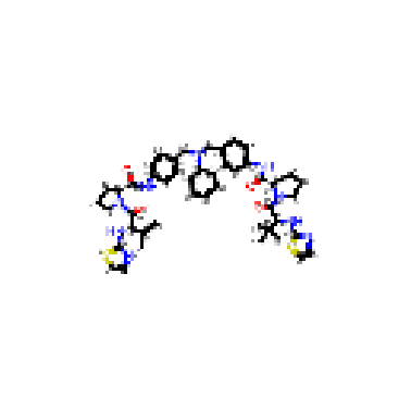 C=C(C)[C@H](Nc1nccs1)C(=O)N1CCC[C@H]1C(=O)Nc1ccc(CN(Cc2ccc(NC(=O)[C@@H]3CCCN3C(=O)[C@@H](Nc3nccs3)C(C)(C)C)cc2)c2ccccc2)cc1